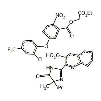 CC(C)C1(C)N=C(c2nc3ccccc3cc2C(=O)O)NC1=O.CCOC(=O)COC(=O)c1cc(Oc2ccc(C(F)(F)F)cc2Cl)ccc1[N+](=O)[O-]